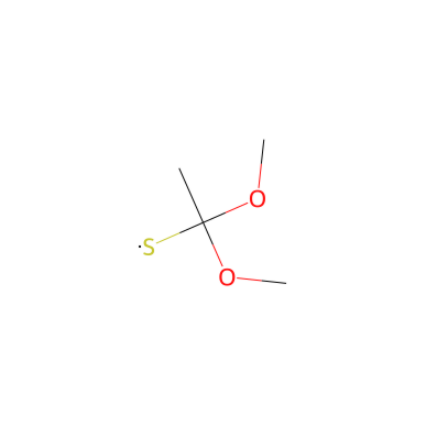 COC(C)([S])OC